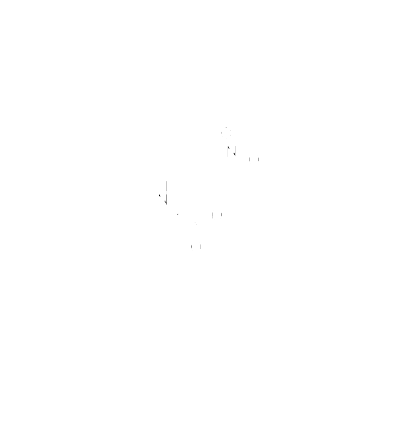 CCCCOC(=O)C1(c2ccc([N+](=O)[O-])cc2)CCCN1